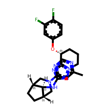 Cc1cc(N2C[C@H]3CC[C@@H](C2)[C@@H]3Nc2nc3n(n2)CCC[C@H]3Oc2ccc(F)c(F)c2)ncn1